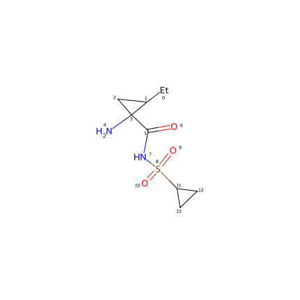 CCC1CC1(N)C(=O)NS(=O)(=O)C1CC1